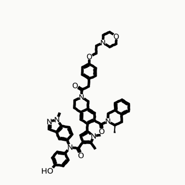 Cc1c(C(=O)N(c2ccc(O)cc2)c2ccc3c(cnn3C)c2)cc(-c2cc3c(cc2C(=O)N2Cc4ccccc4C[C@H]2C)CN(C(=O)Cc2ccc(OCCN4CCOCC4)cc2)CC3)n1C